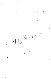 Cc1ccc2cccc(OCc3c(Cl)ccc(N(C)C(=O)Cc4ccc(C(=O)c5ccc(N(C)C)cc5)n4C)c3Cl)c2n1